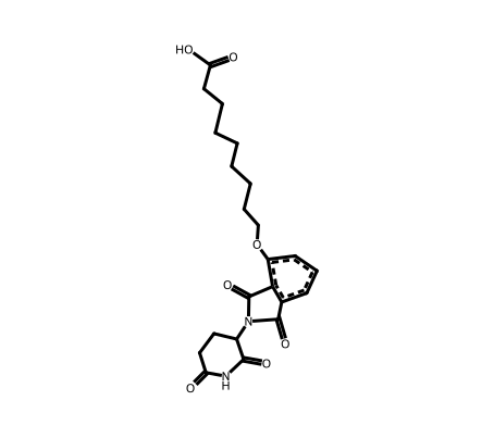 O=C(O)CCCCCCCCOc1cccc2c1C(=O)N(C1CCC(=O)NC1=O)C2=O